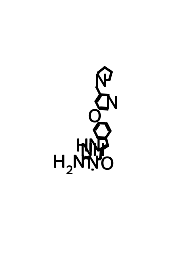 CN(C(=N)N)C(=O)c1cc2ccc(Oc3cncc(CN4CCCC4)c3)cc2[nH]1